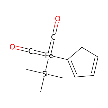 C[Si](C)(C)[Fe](=[C]=O)(=[C]=O)[C]1=CC=CC1